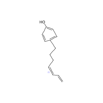 C=C/C=C\CCCc1ccc(O)cc1